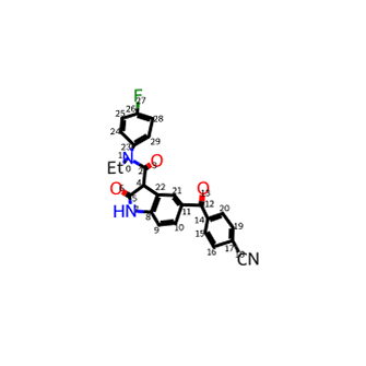 CCN(C(=O)C1C(=O)Nc2ccc(C(=O)c3ccc(C#N)cc3)cc21)c1ccc(F)cc1